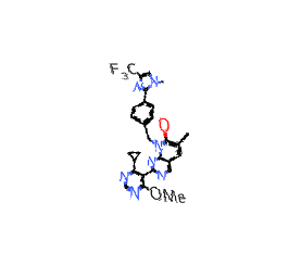 COc1ncnc(C2CC2)c1-c1ncc2cc(C)c(=O)n(Cc3ccc(-c4nc(C(F)(F)F)cn4C)cc3)c2n1